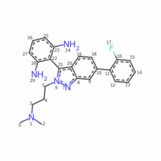 CN(C)CCCn1nc2cc(-c3ccccc3F)ccc2c1-c1c(N)cccc1N